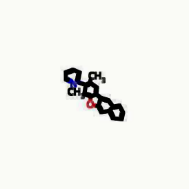 Cc1cc2c(cc1-c1cccc[n+]1C)oc1cc3ccccc3cc12